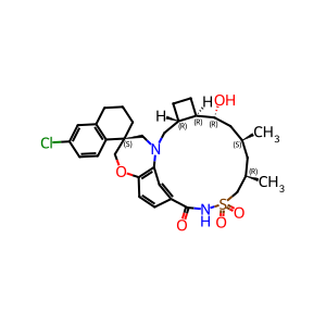 C[C@@H]1C[C@H](C)C[C@@H](O)[C@@H]2CC[C@H]2CN2C[C@@]3(CCCc4cc(Cl)ccc43)COc3ccc(cc32)C(=O)NS(=O)(=O)C1